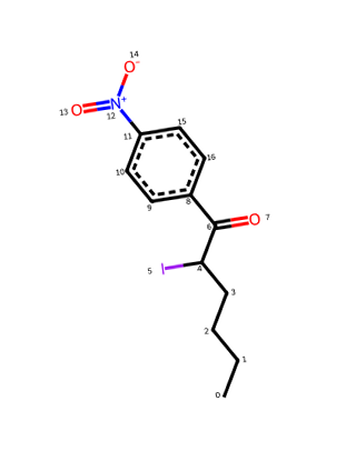 CCCCC(I)C(=O)c1ccc([N+](=O)[O-])cc1